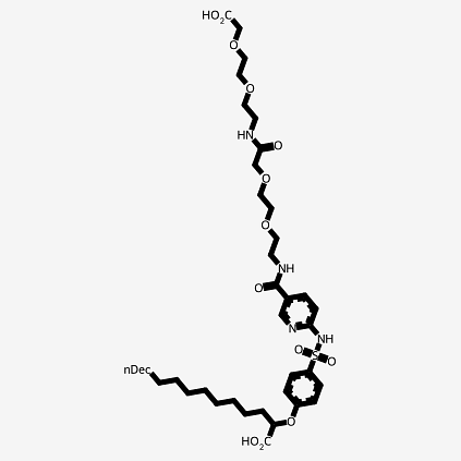 CCCCCCCCCCCCCCCCCCC(Oc1ccc(S(=O)(=O)Nc2ccc(C(=O)NCCOCCOCC(=O)NCCOCCOCC(=O)O)cn2)cc1)C(=O)O